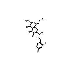 CCCN1CN(CCC(C)=O)n2cc(C(=O)NCc3ccc(F)cc3F)c(=O)c(O)c2C1=O